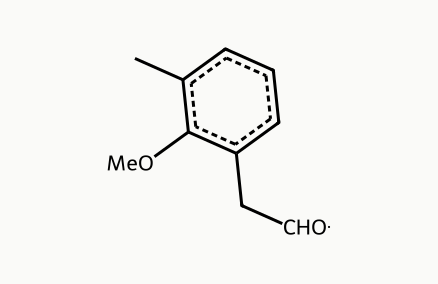 COc1c(C)cccc1C[C]=O